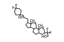 CC12CCC3C(CCC4C[C@](O)(C(F)(F)F)CCC43C)C1CCC2CCCC1(O)CCC(F)(F)CC1